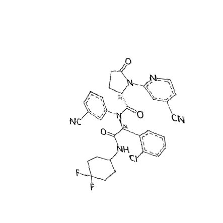 N#Cc1cccc(N(C(=O)[C@@H]2CCC(=O)N2c2cc(C#N)ccn2)[C@H](C(=O)NC2CCC(F)(F)CC2)c2ccccc2Cl)c1